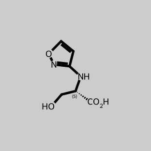 O=C(O)[C@H](CO)Nc1ccon1